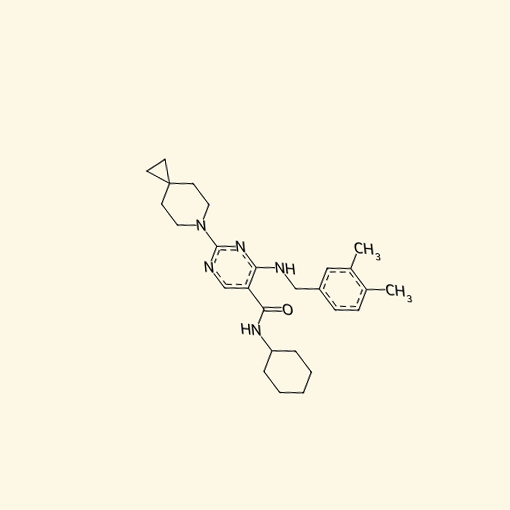 Cc1ccc(CNc2nc(N3CCC4(CC3)CC4)ncc2C(=O)NC2CCCCC2)cc1C